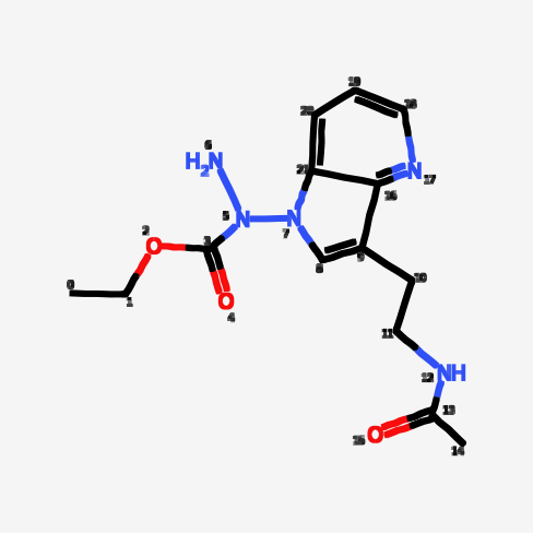 CCOC(=O)N(N)n1cc(CCNC(C)=O)c2ncccc21